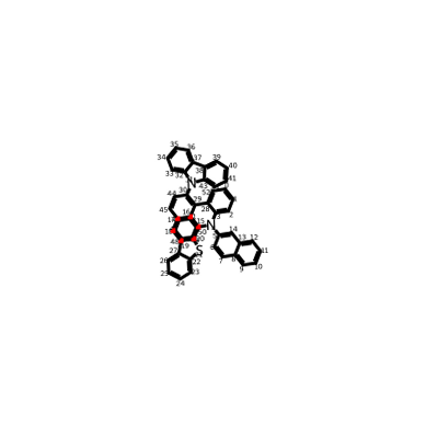 c1ccc(N(c2ccc3ccccc3c2)c2cccc3c2sc2ccccc23)c(-c2c(-n3c4ccccc4c4ccccc43)ccc3ccccc23)c1